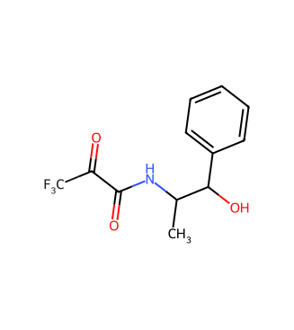 CC(NC(=O)C(=O)C(F)(F)F)C(O)c1ccccc1